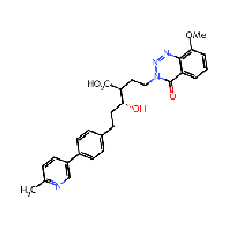 COc1cccc2c(=O)n(CC[C@H](C(=O)O)[C@H](O)CCc3ccc(-c4ccc(C)nc4)cc3)nnc12